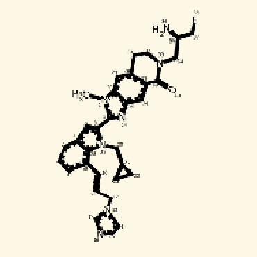 Cn1c(-c2cc3cccc(C=CCn4ccnc4)c3n2CC2CC2)nc2cc3c(cc21)CCN(CC(N)CF)C3=O